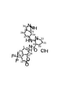 Cl.O=C(Nc1ccc2c(C(F)(F)F)cc(=O)oc2c1)c1cccnc1Nc1ccc2cn[nH]c2c1